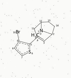 CN1C2C=C(c3sccc3Br)CC1CC2